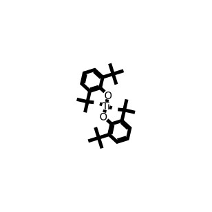 CC(C)(C)c1cccc(C(C)(C)C)c1[O][Ti]([CH3])([CH3])[O]c1c(C(C)(C)C)cccc1C(C)(C)C